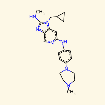 CNc1nc2cnc(Nc3ccc(N4CCN(C)CC4)cc3)cc2n1CC1CC1